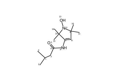 CC(C)CC(=O)NC1=CC(C)(C)N(O)C1(C)C